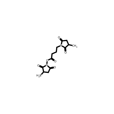 BC1CC(=O)N(OC(=O)CCCN2C(=O)CC(C)C2=O)C1=O